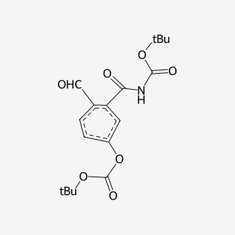 CC(C)(C)OC(=O)NC(=O)c1cc(OC(=O)OC(C)(C)C)ccc1C=O